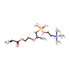 C=CC(=O)OCCOC(C)CP(=O)(O)OCC[N+](C)(C)C